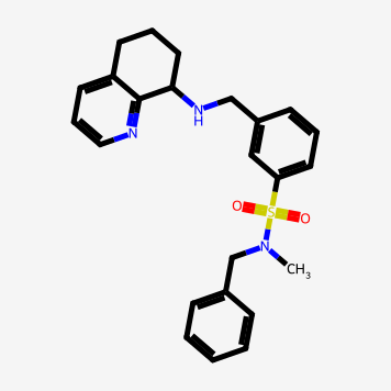 CN(Cc1ccccc1)S(=O)(=O)c1cccc(CNC2CCCc3cccnc32)c1